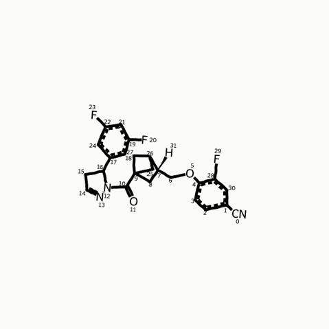 N#Cc1ccc(OC[C@@H]2CC3(C(=O)N4N=CCC4c4cc(F)cc(F)c4)CC2C3)c(F)c1